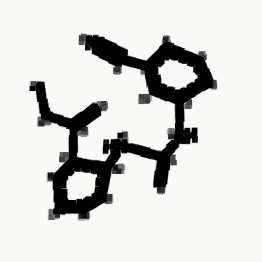 C=C(Nc1cccc(C#N)c1)Nc1ccccc1C(=C)CC